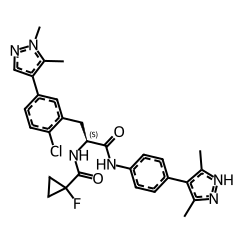 Cc1n[nH]c(C)c1-c1ccc(NC(=O)[C@H](Cc2cc(-c3cnn(C)c3C)ccc2Cl)NC(=O)C2(F)CC2)cc1